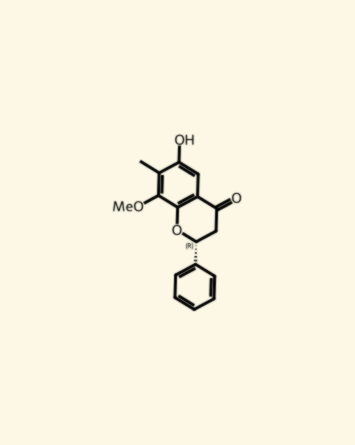 COc1c(C)c(O)cc2c1O[C@@H](c1ccccc1)CC2=O